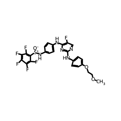 COCCOc1ccc(Nc2ncc(F)c(Nc3ccc(N[S+]([O-])c4c(F)c(F)c(F)c(F)c4F)cc3)n2)cc1